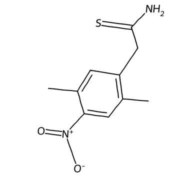 Cc1cc([N+](=O)[O-])c(C)cc1CC(N)=S